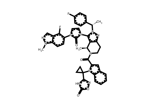 C[C@H]1c2c(nn([C@@H](C)c3ccc(F)cc3)c2-n2ccn(-c3ccc4c(cnn4C)c3F)c2=O)CCN1C(=O)c1cc2ccccc2n1C1(c2noc(=O)[nH]2)CC1